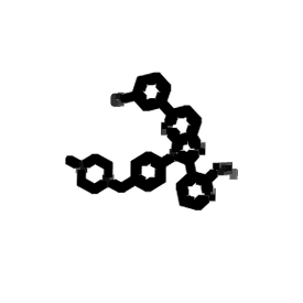 CN1CCN(Cc2ccc(-n3c(-c4cccnc4N)nc4ccc(-c5cccc(Cl)c5)nc43)cc2)CC1